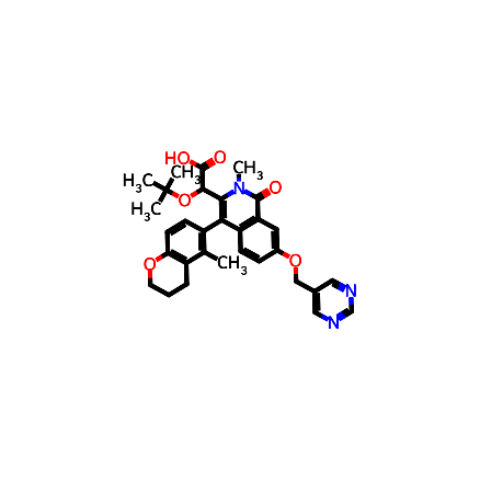 Cc1c(-c2c(C(OC(C)(C)C)C(=O)O)n(C)c(=O)c3cc(OCc4cncnc4)ccc23)ccc2c1CCCO2